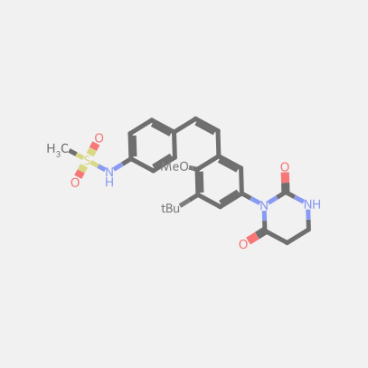 COc1c(/C=C\c2ccc(NS(C)(=O)=O)cc2)cc(N2C(=O)CCNC2=O)cc1C(C)(C)C